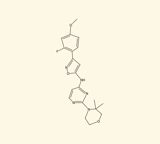 COc1ccc(-c2cc(Nc3ccnc(N4CCOCC4(C)C)n3)on2)c(F)c1